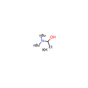 CCCCN(CCCC)C(O)CC.[KH]